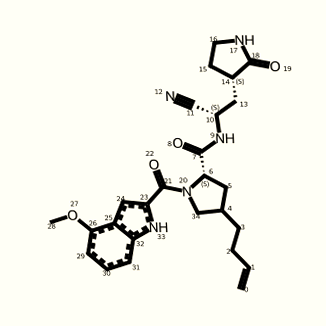 C=CCCC1C[C@@H](C(=O)N[C@H](C#N)C[C@@H]2CCNC2=O)N(C(=O)c2cc3c(OC)cccc3[nH]2)C1